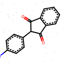 Nc1ccc(C2C(=O)c3ccccc3C2=O)cc1